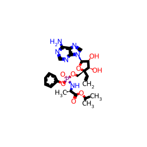 C=C[C@]1(COP(=O)(N[C@@H](C)C(=O)OC(C)C)Oc2ccccc2)O[C@@H](n2cnc3c(N)ncnc32)[C@H](O)[C@@H]1O